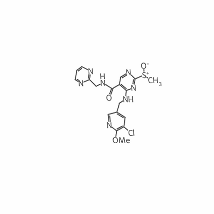 COc1ncc(CNc2nc([S+](C)[O-])ncc2C(=O)NCc2ncccn2)cc1Cl